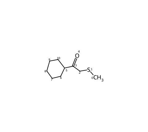 CSCC(=O)C1CCCCC1